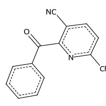 N#Cc1ccc(Cl)nc1C(=O)c1ccccc1